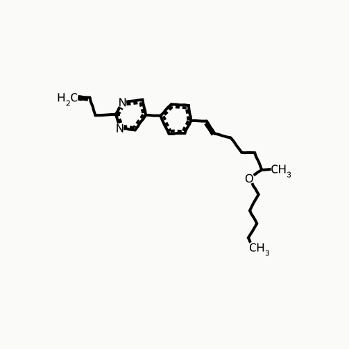 C=CCc1ncc(-c2ccc(/C=C/CCCC(C)OCCCCC)cc2)cn1